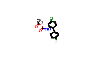 O=C(Nc1cc(Cl)ccc1-c1ccc(F)cc1)OC(=O)C(F)(F)F